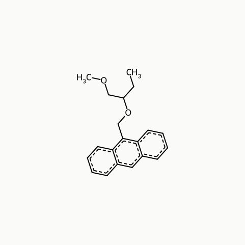 CCC(COC)OCc1c2ccccc2cc2ccccc12